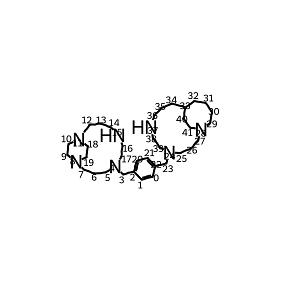 c1cc(CN2CCCN3CCN(CCCNCC2)CC3)ccc1CN1CCCN2CCCCC(CCCNCC1)CC2